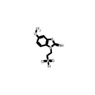 CCS(=O)(=O)CCn1c(=N)sc2cc(OC(F)(F)F)ccc21